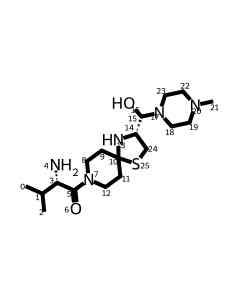 CC(C)[C@H](N)C(=O)N1CCC2(CC1)N[C@H](C(O)N1CCN(C)CC1)CS2